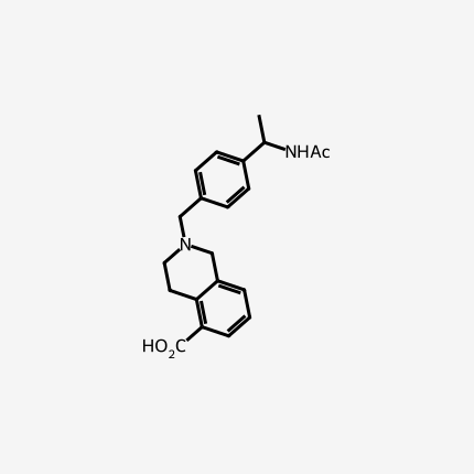 CC(=O)NC(C)c1ccc(CN2CCc3c(cccc3C(=O)O)C2)cc1